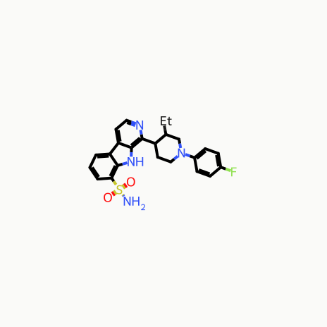 CCC1CN(c2ccc(F)cc2)CCC1c1nccc2c1[nH]c1c(S(N)(=O)=O)cccc12